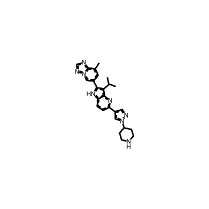 Cc1cc(-c2[nH]c3ccc(-c4cnn(C5CCNCC5)c4)nc3c2C(C)C)cn2ncnc12